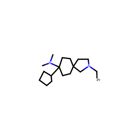 CC(C)CN1CCC2(CCC(C3CCCC3)(N(C)C)CC2)C1